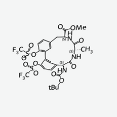 COC(=O)[C@@H]1Cc2ccc(OS(=O)(=O)C(F)(F)F)c(c2)-c2cc(ccc2OS(=O)(=O)C(F)(F)F)[C@H](NC(=O)OC(C)(C)C)C(=O)N[C@@H](C)C(=O)N1